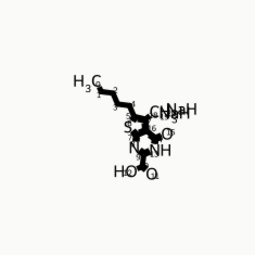 CCCCCc1sc2nc(C(=O)O)[nH]c(=O)c2c1C.[NaH].[NaH]